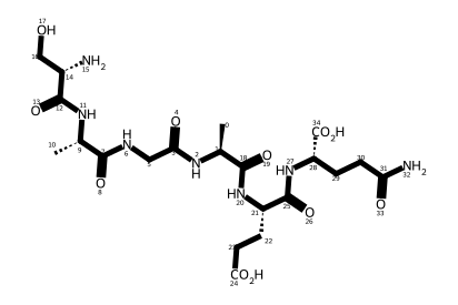 C[C@H](NC(=O)CNC(=O)[C@H](C)NC(=O)[C@@H](N)CO)C(=O)N[C@@H](CCC(=O)O)C(=O)N[C@@H](CCC(N)=O)C(=O)O